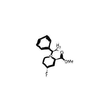 COC(=O)[C@H]1C[C@H](F)CCN1[C@H](C)c1ccccc1